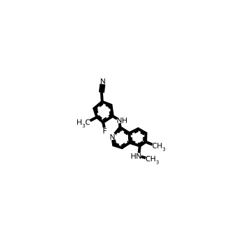 CNc1c(C)ccc2c(Nc3cc(C#N)cc(C)c3F)nccc12